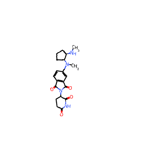 CN[C@@H]1CCC[C@@H]1N(C)c1ccc2c(c1)C(=O)N(C1CCC(=O)NC1=O)C2=O